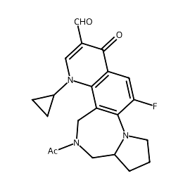 CC(=O)N1Cc2c(c(F)cc3c(=O)c(C=O)cn(C4CC4)c23)N2CCCC2C1